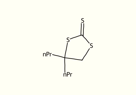 CCCC1(CCC)CSC(=S)S1